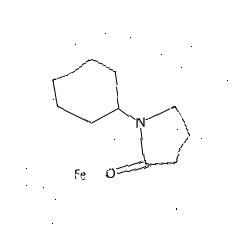 O=C1CCCN1C1CCCCC1.[Fe]